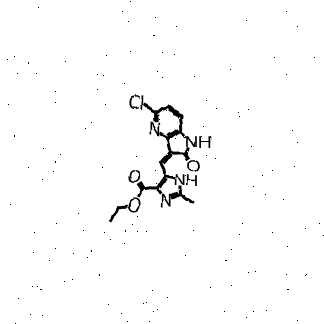 CCOC(=O)c1nc(C)[nH]c1/C=C1\C(=O)Nc2ccc(Cl)nc21